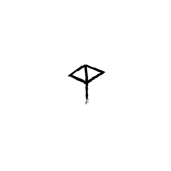 FC12CC1C2